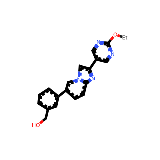 CCOc1ncc(-c2cn3cc(-c4cccc(CO)c4)ccc3n2)cn1